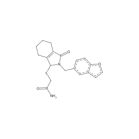 NC(=O)CSC1C2=C(CCCC2)C(=O)N1Cc1ccc2occc2c1